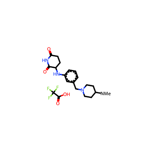 CNC1CCN(Cc2cccc(NC3CCC(=O)NC3=O)c2)CC1.O=C(O)C(F)(F)F